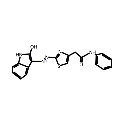 O=C(Cc1csc(/N=N/c2c(O)[nH]c3ccccc23)n1)Nc1ccccc1